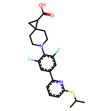 CC(C)Sc1cccc(-c2cc(F)c(N3CCC4(CC3)CC4C(=O)O)c(F)c2)n1